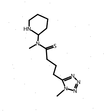 CN(C(=S)CCCc1nnnn1C)C1CCCCN1